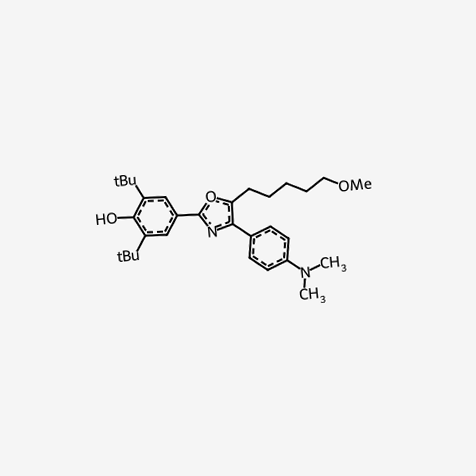 COCCCCCc1oc(-c2cc(C(C)(C)C)c(O)c(C(C)(C)C)c2)nc1-c1ccc(N(C)C)cc1